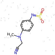 CN(CC#N)c1ccc(N=S(=O)=O)cc1